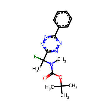 CN(C(=O)OC(C)(C)C)C(C)(F)c1nnc(-c2ccccc2)nn1